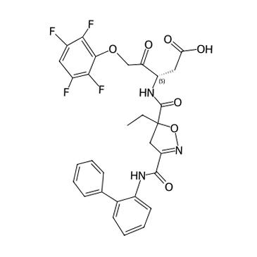 CCC1(C(=O)N[C@@H](CC(=O)O)C(=O)COc2c(F)c(F)cc(F)c2F)CC(C(=O)Nc2ccccc2-c2ccccc2)=NO1